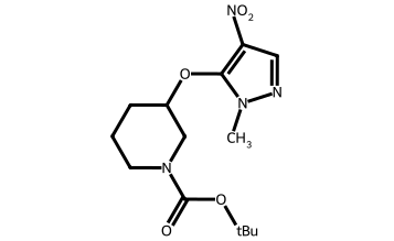 Cn1ncc([N+](=O)[O-])c1OC1CCCN(C(=O)OC(C)(C)C)C1